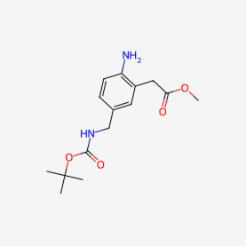 COC(=O)Cc1cc(CNC(=O)OC(C)(C)C)ccc1N